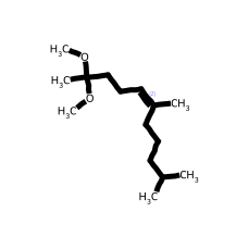 COC(C)(CC/C=C(/C)CCCC(C)C)OC